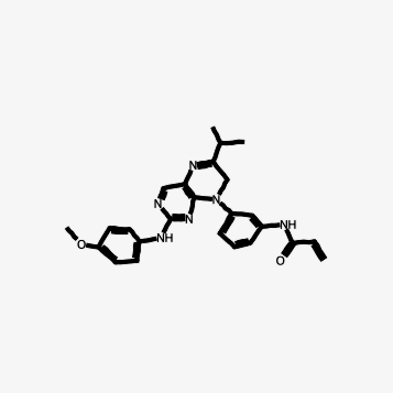 C=CC(=O)Nc1cccc(N2CC(C(C)C)=Nc3cnc(Nc4ccc(OC)cc4)nc32)c1